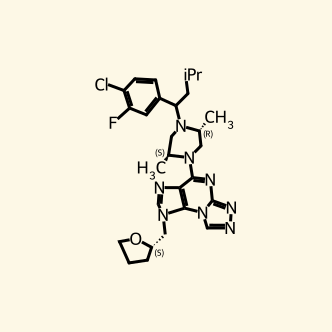 CC(C)CC(c1ccc(Cl)c(F)c1)N1C[C@H](C)N(c2nc3nncn3c3c2ncn3C[C@@H]2CCCO2)C[C@H]1C